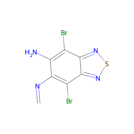 C=Nc1c(N)c(Br)c2nsnc2c1Br